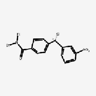 CCN(CC)C(=O)c1ccc([C@H](Cl)c2cccc([N+](=O)[O-])c2)cc1